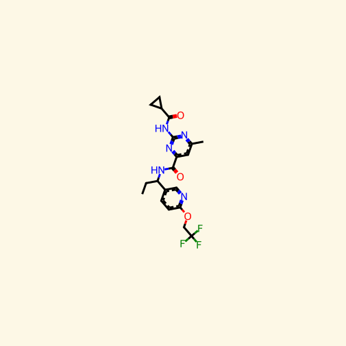 CCC(NC(=O)c1cc(C)nc(NC(=O)C2CC2)n1)c1ccc(OCC(F)(F)F)nc1